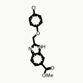 COC(=O)c1ccc2nc(COc3ccc(Cl)cc3)[nH]c2c1